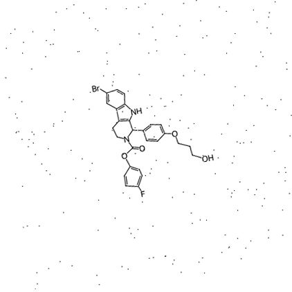 O=C(Oc1ccc(F)cc1)N1CCc2c([nH]c3ccc(Br)cc23)C1c1ccc(OCCCO)cc1